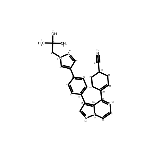 CC(C)(O)Cn1cc(-c2ccc(-c3cnn4ccnc(C5=CCC(C#N)CC5)c34)cc2)cn1